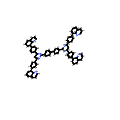 c1cnc2c(-c3ccc(-c4cc(-c5ccc(-c6cccc7cccnc67)cc5)nc(-c5ccc(-c6ccc(-c7nc(-c8ccc(-c9cccc%10cccnc9%10)cc8)cc(-c8ccc(-c9cccc%10cccnc9%10)cc8)n7)cc6)cc5)n4)cc3)cccc2c1